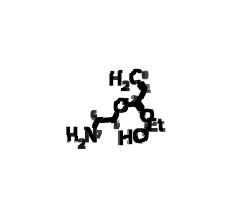 C=CC(=O)OCCN.CCO